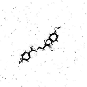 COc1ccc2c(c1)oc(CCNC(=O)c1ccc(F)cc1)[n+]2[O-]